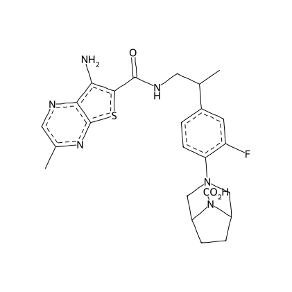 Cc1cnc2c(N)c(C(=O)NCC(C)c3ccc(N4CC5CCC(C4)N5C(=O)O)c(F)c3)sc2n1